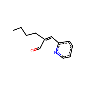 CCCC/C(C=O)=C/c1ccccn1